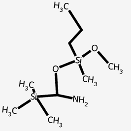 CCC[Si](C)(OC)OC(N)[Si](C)(C)C